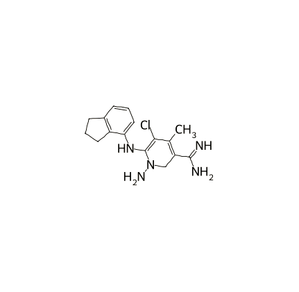 CC1=C(C(=N)N)CN(N)C(Nc2cccc3c2CCC3)=C1Cl